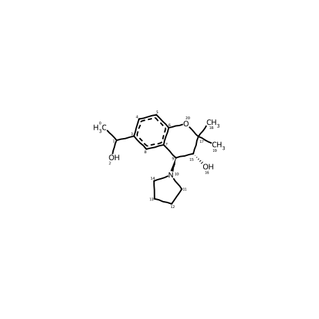 CC(O)c1ccc2c(c1)[C@H](N1CCCC1)[C@@H](O)C(C)(C)O2